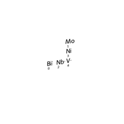 [Bi].[Mo].[Nb].[Ni].[V]